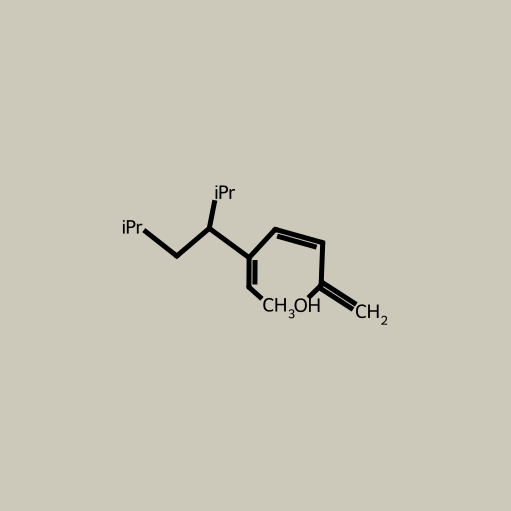 C=C(O)/C=C\C(=C/C)C(CC(C)C)C(C)C